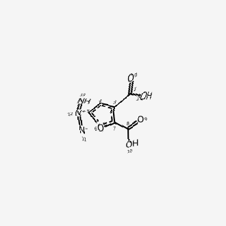 O=C(O)c1ccoc1C(=O)O.[N-]=[N+]=N